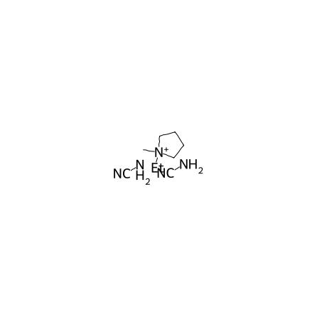 CC[N+]1(C)CCCC1.N#CN.N#CN